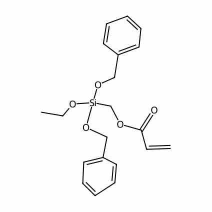 C=CC(=O)OC[Si](OCC)(OCc1ccccc1)OCc1ccccc1